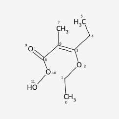 CCOC(CC)=C(C)C(=O)OO